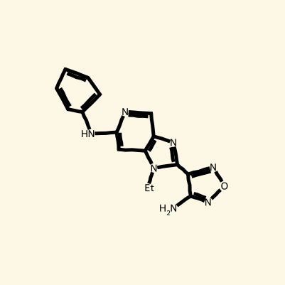 CCn1c(-c2nonc2N)nc2cnc(Nc3ccccc3)cc21